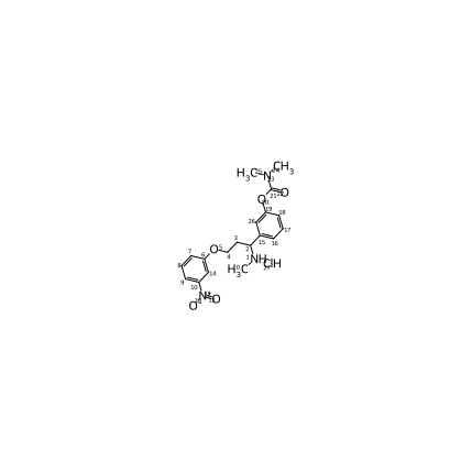 CNC(CCOc1cccc([N+](=O)[O-])c1)c1cccc(OC(=O)N(C)C)c1.Cl